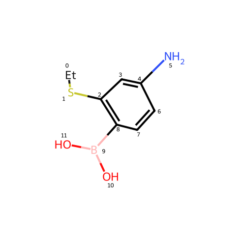 CCSc1cc(N)ccc1B(O)O